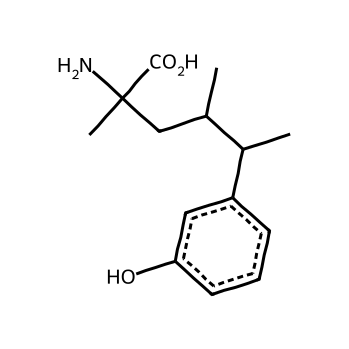 CC(CC(C)(N)C(=O)O)C(C)c1cccc(O)c1